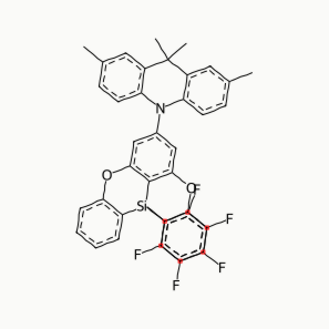 Cc1ccc2c(c1)C(C)(C)c1cc(C)ccc1N2c1cc2c3c(c1)Oc1ccccc1[Si]3(c1c(F)c(F)c(F)c(F)c1F)c1ccccc1O2